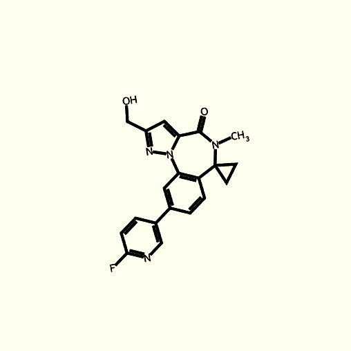 CN1C(=O)c2cc(CO)nn2-c2cc(-c3ccc(F)nc3)ccc2C12CC2